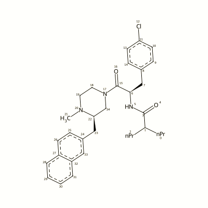 CCCC(CCC)C(=O)N[C@H](Cc1ccc(Cl)cc1)C(=O)N1CCN(C)[C@H](Cc2ccc3ccccc3c2)C1